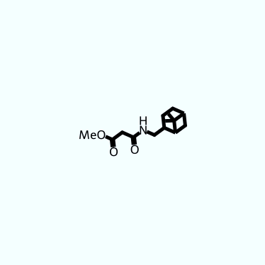 COC(=O)CC(=O)NCC1CCC2CC1C2(C)C